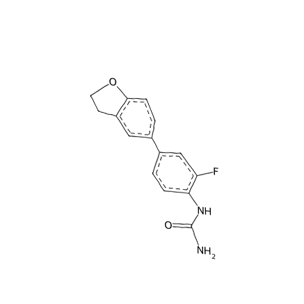 NC(=O)Nc1ccc(-c2ccc3c(c2)CCO3)cc1F